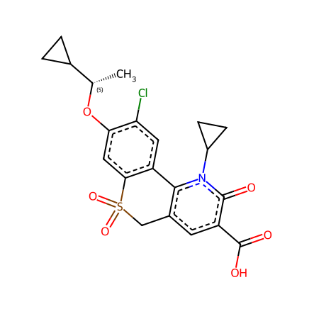 C[C@H](Oc1cc2c(cc1Cl)-c1c(cc(C(=O)O)c(=O)n1C1CC1)CS2(=O)=O)C1CC1